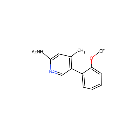 CC(=O)Nc1cc(C)c(-c2ccccc2OC(F)(F)F)cn1